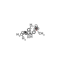 CCCCS(=O)(=O)N1C2CCC1CC(Cc1ccc(NC(=O)Nc3cc(C(C)(C)C)nn3-c3ccc(C)cc3)cc1)C2